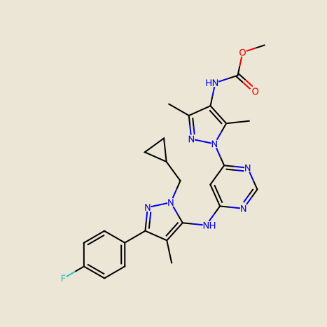 COC(=O)Nc1c(C)nn(-c2cc(Nc3c(C)c(-c4ccc(F)cc4)nn3CC3CC3)ncn2)c1C